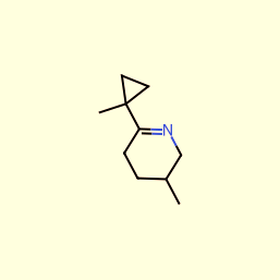 CC1CCC(C2(C)CC2)=NC1